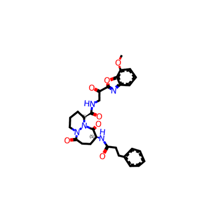 COc1cccc2nc(C(=O)CNC(=O)[C@@H]3CCCN4C(=O)CC[C@H](NC(=O)CCc5ccccc5)C(=O)N34)oc12